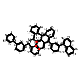 c1ccc(-c2cccc(-c3nc(-c4ccccc4-c4c5ccccc5c(-c5cccc(-c6cccc7ccccc67)c5)c5ccccc45)nc4ccccc34)c2)cc1